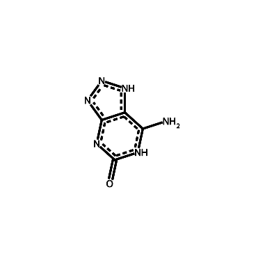 Nc1[nH]c(=O)nc2nn[nH]c12